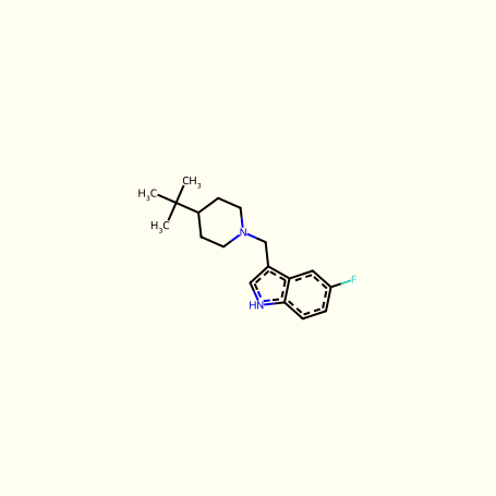 CC(C)(C)C1CCN(Cc2c[nH]c3ccc(F)cc23)CC1